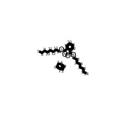 C1=C2CCC(C1)C2.CCCCCCCCOC(=O)c1ccccc1C(=O)OCCCCCCCC